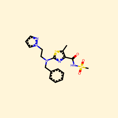 Cc1sc(N(CCn2cccn2)Cc2ccccc2)nc1C(=O)NS(C)(=O)=O